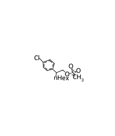 CCCCCCC(COS(C)(=O)=O)c1ccc(Cl)cc1